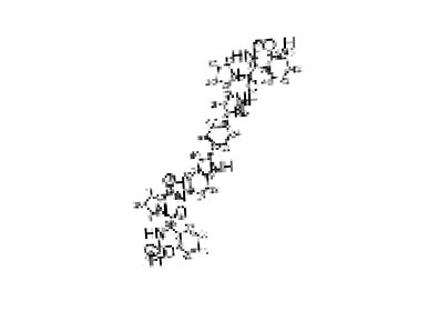 CC(C)OC(=O)N[C@@H](C(=O)N1CCC[C@H]1C(=O)Nc1ccc2[nH]c(-c3ccc(-c4cc([C@@H]5CCCN5C(=O)[C@H](NC(=O)O)c5ccccc5)[nH]n4)cc3)cc2c1)c1ccccc1